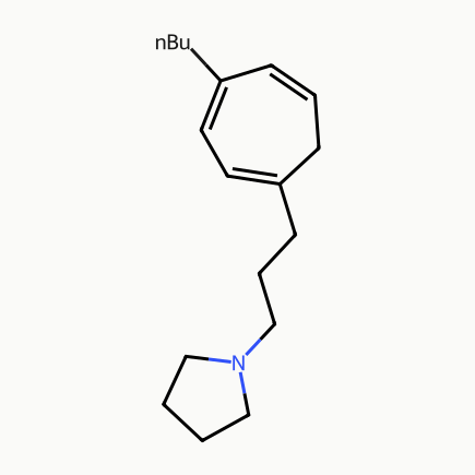 CCCCC1=CC=C(CCCN2CCCC2)CC=C1